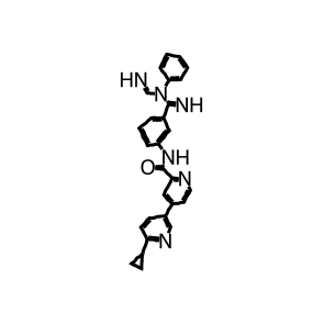 N=CN(C(=N)c1cccc(NC(=O)c2cc(-c3ccc(C4CC4)nc3)ccn2)c1)c1ccccc1